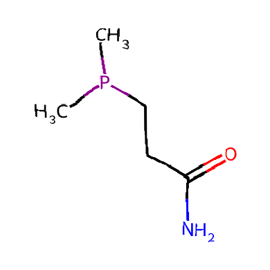 CP(C)CCC(N)=O